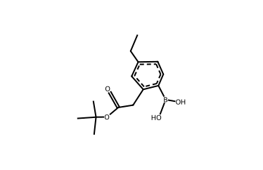 CCc1ccc(B(O)O)c(CC(=O)OC(C)(C)C)c1